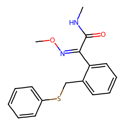 CNC(=O)/C(=N\OC)c1ccccc1CSc1ccccc1